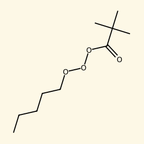 CCCCCOOOC(=O)C(C)(C)C